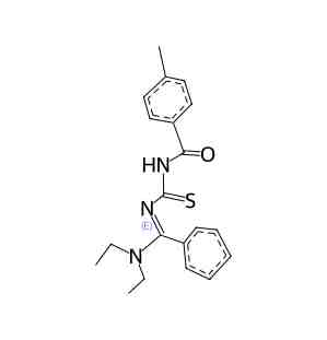 CCN(CC)/C(=N/C(=S)NC(=O)c1ccc(C)cc1)c1ccccc1